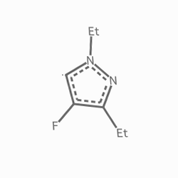 CCc1nn(CC)[c]c1F